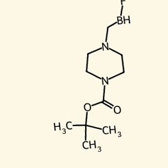 CC(C)(C)OC(=O)N1CCN(CBF)CC1